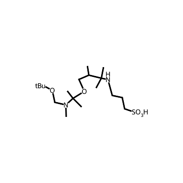 CC(COC(C)(C)N(C)COC(C)(C)C)C(C)(C)NCCCS(=O)(=O)O